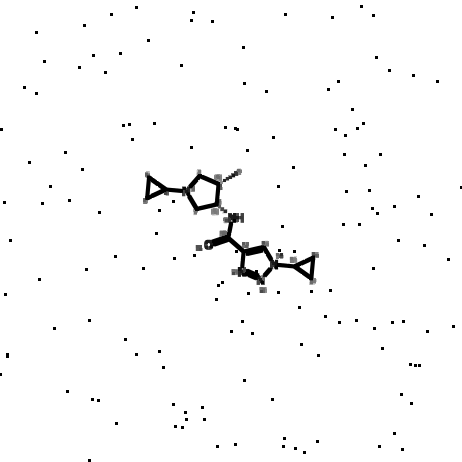 C[C@H]1CN(C2CC2)C[C@H]1NC(=O)c1cn(C2CC2)nn1